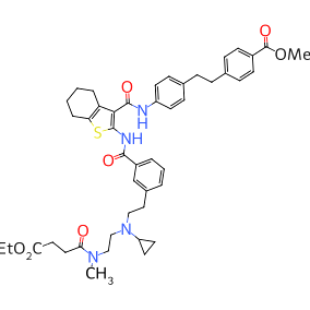 CCOC(=O)CCC(=O)N(C)CCN(CCc1cccc(C(=O)Nc2sc3c(c2C(=O)Nc2ccc(CCc4ccc(C(=O)OC)cc4)cc2)CCCC3)c1)C1CC1